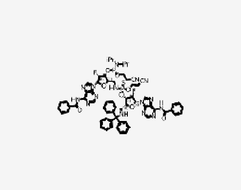 CC(C)N(C(C)C)P(OCCC#N)O[C@H]1[C@@H](F)[C@H](n2cnc3c(NC(=O)c4ccccc4)ncnc32)O[C@@H]1CNP(=S)(OCCC#N)O[C@H]1[C@@H](F)[C@H](n2cnc3c(NC(=O)c4ccccc4)ncnc32)O[C@@H]1CNC(c1ccccc1)(c1ccccc1)c1ccccc1